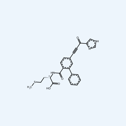 CSCC[C@H](NC(=O)c1ccc(C#CC(=O)c2c[nH]cn2)cc1-c1ccccc1)C(=O)O